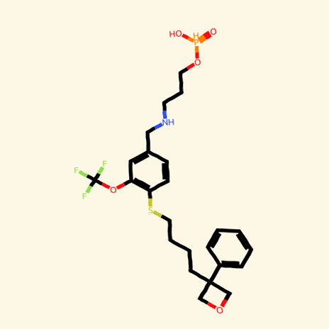 O=[PH](O)OCCCNCc1ccc(SCCCCC2(c3ccccc3)COC2)c(OC(F)(F)F)c1